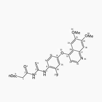 CCCCCCCCCCCC(=O)NC(=S)Nc1ccc(Oc2ccnc3cc(OC)c(OC)cc23)cc1F